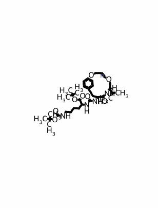 CC(C)[C@H]1CO/C=C/COc2ccc(cc2)C[C@@H](NC(=O)NC(CCCCNC(=O)OC(C)(C)C)C(=O)OC(C)(C)C)C(=O)N1